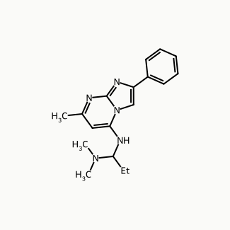 CCC(Nc1cc(C)nc2nc(-c3ccccc3)cn12)N(C)C